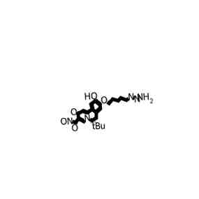 CC(C)(C)[C@H]1Cc2cc(OCCCCCN=NN)c(O)cc2-c2cc(=O)c(C(=O)N=O)cn21